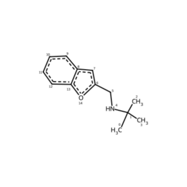 CC(C)(C)NCc1cc2ccccc2o1